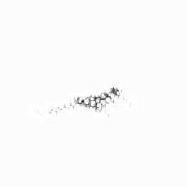 CCCCCCCCCCCC[C@@]1(O)CC[C@@]2(C)[C@@H](C[C@@H](C)[C@@H]3[C@@H]2CC[C@]2(C)[C@@H](C(=O)Cn4nnnc4C)CC[C@@H]32)C1